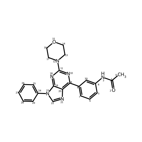 CC(=O)Nc1cccc(-c2nc(N3CCOCC3)nc3c2ncn3-c2ccccc2)c1